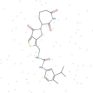 Cc1ccc(NC(=O)NCc2scc3c2CN(C2CCCC(=O)NC2=O)C3=O)cc1C(C)C